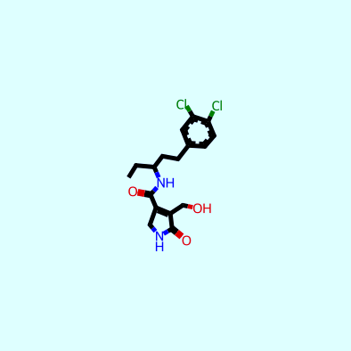 CCC(CCc1ccc(Cl)c(Cl)c1)NC(=O)C1=C(CO)C(=O)NC1